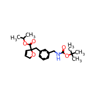 CC(C)OC(=O)C1(Cc2cccc(CNC(=O)OC(C)(C)C)c2)C=CCO1